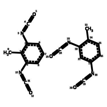 Cc1c(N=C=O)cccc1N=C=O.Cc1ccc(N=C=O)cc1N=C=O